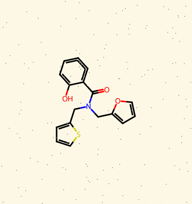 O=C(C1=C=C=CC=C1O)N(Cc1ccco1)Cc1cccs1